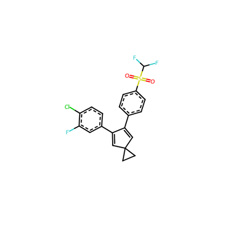 O=S(=O)(c1ccc(C2=CC3(C=C2c2ccc(Cl)c(F)c2)CC3)cc1)C(F)F